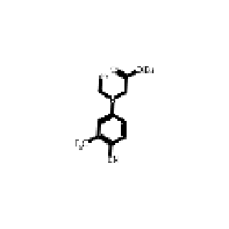 CC(C)COC(=O)CN(CC(C)C)c1ccc(C#N)c(C(F)(F)F)c1